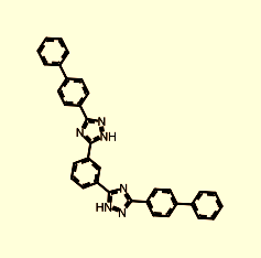 c1ccc(-c2ccc(-c3n[nH]c(-c4cccc(-c5nc(-c6ccc(-c7ccccc7)cc6)n[nH]5)c4)n3)cc2)cc1